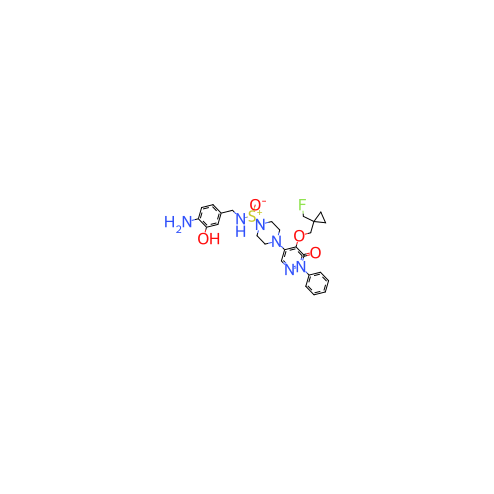 Nc1ccc(CN[S+]([O-])N2CCN(c3cnn(-c4ccccc4)c(=O)c3OCC3(CF)CC3)CC2)cc1O